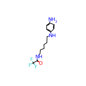 Nc1ccc(NCCCCCCNC(=O)C(F)(F)F)cc1